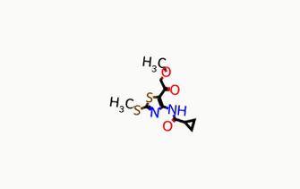 COCC(=O)c1sc(SC)nc1NC(=O)C1CC1